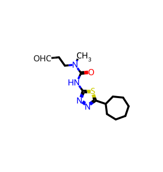 CN(CCC=O)C(=O)Nc1nnc(C2CCCCCC2)s1